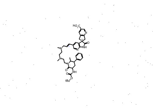 CC1C(c2ccccc2)CC(NC(=O)OC(C)(C)C)C(=O)N1CCN(C)CCN(C)C/C=C/c1cnc2c(c1)[C@@]1(Cc3cc(C(=O)O)cnc3C1)C(=O)N2